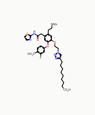 CNCCc1cc(OCCn2cc(CCCCCCCCC(=O)O)nn2)c(Oc2ccc(C(=O)O)c(F)c2)cc1CC(=O)Nc1nccs1